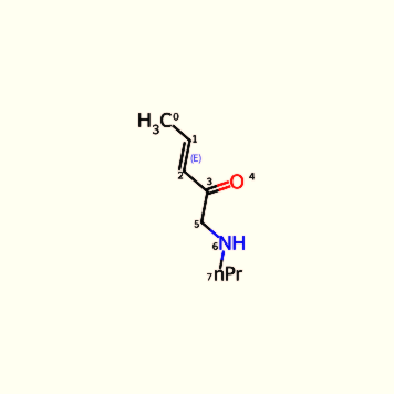 C/C=C/C(=O)CNCCC